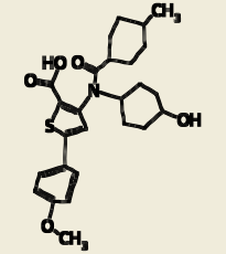 COc1ccc(-c2cc(N(C(=O)C3CCC(C)CC3)C3CCC(O)CC3)c(C(=O)O)s2)cc1